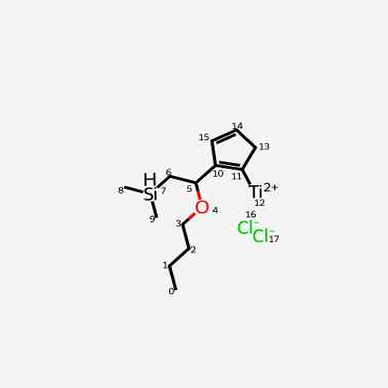 CCCCOC(C[SiH](C)C)C1=[C]([Ti+2])CC=C1.[Cl-].[Cl-]